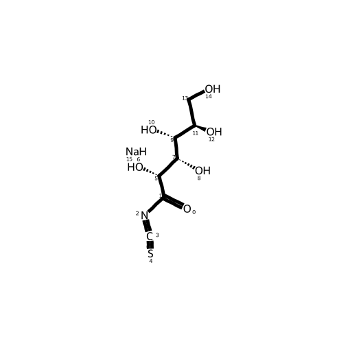 O=C(N=C=S)[C@H](O)[C@@H](O)[C@H](O)[C@H](O)CO.[NaH]